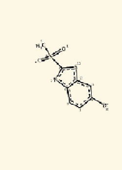 CS(=O)(=O)c1nc2ccc(Br)cc2s1